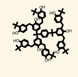 CC(C)(C)c1cc(Cc2cc(C(C)(C)c3ccc(C(C)(c4cc(Cc5ccc(O)c(C(C)(C)C)c5)c(O)c(Cc5ccc(O)c(C(C)(C)C)c5)c4)c4cc(Cc5ccc(O)c(C(C)(C)C)c5)c(O)c(Cc5ccc(O)c(C(C)(C)C)c5)c4)cc3)cc(Cc3ccc(O)c(C(C)(C)C)c3)c2O)ccc1O